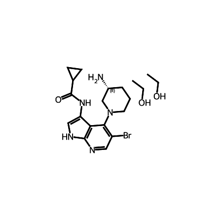 CCO.CCO.N[C@@H]1CCCN(c2c(Br)cnc3[nH]cc(NC(=O)C4CC4)c23)C1